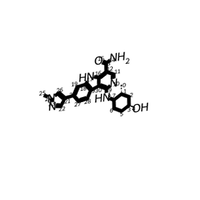 C[C@@H]1C[C@H](O)CCC1Nc1ncc(C(N)=O)c2[nH]c3cc(-c4cnn(C)c4)ccc3c12